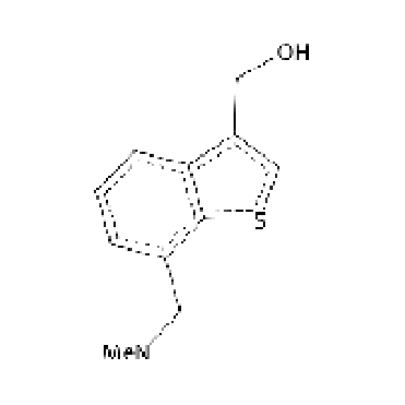 CNCc1cccc2c(CO)csc12